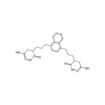 O=C(O)CC(CCCc1ccc(CCCC(CC(=O)O)C(=O)O)c2ccccc12)C(=O)O